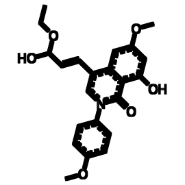 CCOC(O)/C=C/c1cn(-c2ccc(OC)cc2)c(=O)c2c(O)cc(OC)cc12